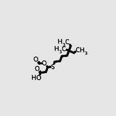 CCC(C)(CC)CCCCSC(CC(=O)O)OC=O